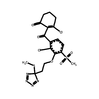 CSC1(CCOc2c(S(C)(=O)=O)ccc(C(=O)C3=C(Cl)CCCC3=O)c2Cl)N=NN=N1